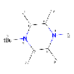 CC1C(C)N(C(C)(C)C)C(C)C(C)N1C